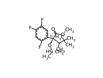 COC(=O)[C@@](O[SiH](C)C)(c1cc(F)c(F)cc1F)C(C)C(C)(C)C